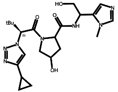 Cn1cncc1C(CO)NC(=O)C1CC(O)CN1C(=O)[C@@H](n1cc(C2CC2)nn1)C(C)(C)C